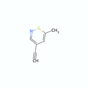 C#CC1=C=NSC(C)=C1